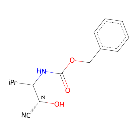 CC(C)C(NC(=O)OCc1ccccc1)[C@H](O)C#N